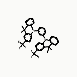 CC1(C)c2ccccc2N(c2cccc(N3c4ccccc4C(C)(C)c4cc(C(F)(F)F)ccc43)c2)c2ccc(C(F)(F)F)cc21